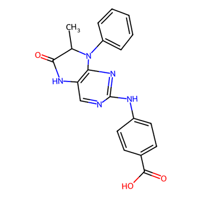 CC1C(=O)Nc2cnc(Nc3ccc(C(=O)O)cc3)nc2N1c1ccccc1